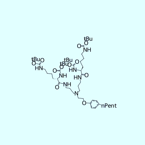 CCCCCc1ccc(OCCN(CCCNC(=O)[C@H](CCCCNC(=O)OC(C)(C)C)NC(=O)OC(C)(C)C)CCCNC(=O)[C@H](CCCCNC(=O)OC(C)(C)C)NC(=O)OC(C)(C)C)cc1